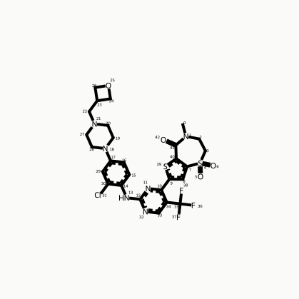 CN1CCS(=O)(=O)c2cc(-c3nc(Nc4ccc(N5CCN(CC6COC6)CC5)cc4Cl)ncc3C(F)(F)F)sc2C1=O